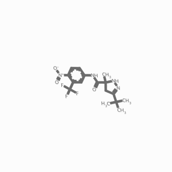 CC(C)(C)C1=NNC(C)(C(=O)Nc2ccc([N+](=O)[O-])c(C(F)(F)F)c2)C1